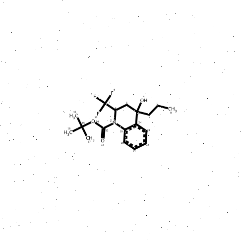 CCCC1(O)CC(C(F)(F)F)N(C(=O)OC(C)(C)C)c2ccccc21